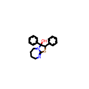 OC1(c2ccccc2)C(c2ccccc2)SC2=NCCCCN21